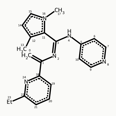 C=C(/N=C(/Nc1ccncc1)c1c(C)ccn1C)c1cccc(CC)n1